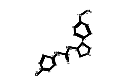 COc1ccc([C@@H]2COCC2NC(=O)Nc2ccc(Cl)cc2)cc1